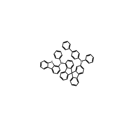 c1ccc(-c2ccc(N(c3ccccc3)c3ccc4c(c3)C3(c5ccccc5-4)c4ccccc4-c4c(N(c5ccccc5)c5cccc6c5sc5ccccc56)cccc43)cc2)cc1